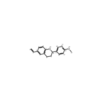 C=Cc1ccc2c(c1)CCC(c1ccc(OC)nc1)O2